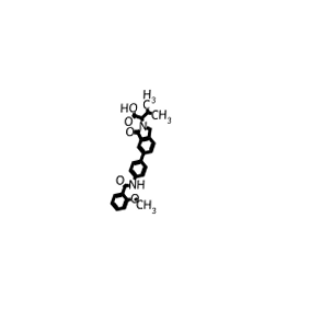 COc1ccccc1C(=O)Nc1ccc(-c2ccc3c(c2)C(=O)N(C(C(=O)O)C(C)C)C3)cc1